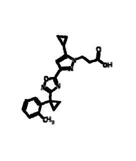 Cc1ccccc1C1(c2noc(-c3cc(C4CC4)n(CCC(=O)O)n3)n2)CC1